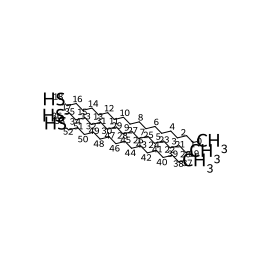 CCCCCCCCCCCCCCCCCCS.CCCCCCCCCCCCCCCCCS.CCCCCCCCCCCCCCCCS